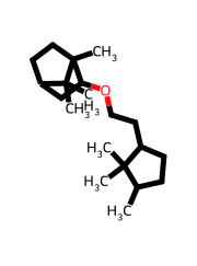 CC1CCC(CCOC2CC3CCC2(C)C3(C)C)C1(C)C